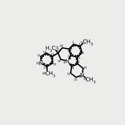 Cc1cc2c3c(c1)c1c(n3CC(C)(c3ccnc(C)c3)C2)CCN(C)C1